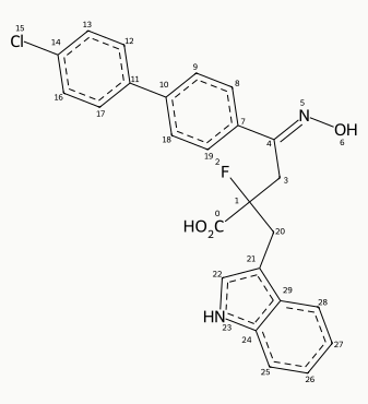 O=C(O)C(F)(C/C(=N\O)c1ccc(-c2ccc(Cl)cc2)cc1)Cc1c[nH]c2ccccc12